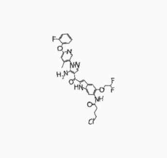 Cc1cc(Oc2ccccc2F)ncc1-n1ncc(C(=O)c2cc3cc(OCC(F)F)c(NC(=O)CCCCl)cc3[nH]2)c1N